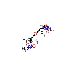 CCN1CC(=O)N(CCC(C)(C)CCCCOCCCCC(C)(C)CCN2C(=O)CN(C)C2=O)C1=O